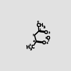 CC(=O)CC(C)=O.[O]